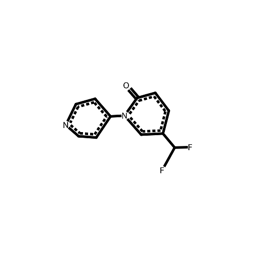 O=c1ccc(C(F)F)cn1-c1ccncc1